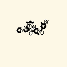 Cc1cc(C)n(-c2nc3c(c(=O)n2-c2ccc(N4CCCCC4)nc2)CC(C)N(C(=O)c2ccc(Br)c(C)c2)C3)n1